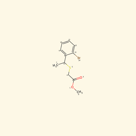 COC(=O)CSC(C)c1ccccc1Br